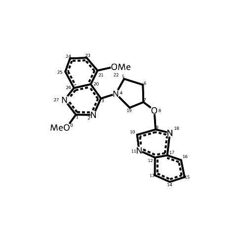 COc1nc(N2CCC(Oc3cnc4ccccc4n3)C2)c2c(OC)cccc2n1